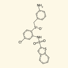 Nc1cccc(C[S+]([O-])c2ccc(Cl)cc2NS(=O)(=O)c2cc3ccccc3s2)c1